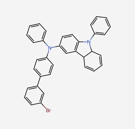 Brc1cccc(-c2ccc(N(c3ccccc3)c3ccc4c(c3)C3C=CC=CC3N4c3ccccc3)cc2)c1